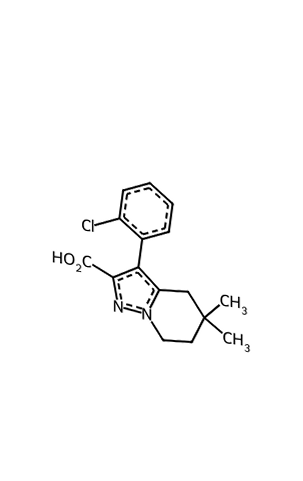 CC1(C)CCn2nc(C(=O)O)c(-c3ccccc3Cl)c2C1